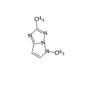 Cc1nc2ccn(C)n2n1